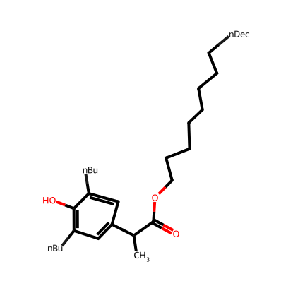 CCCCCCCCCCCCCCCCCCOC(=O)C(C)c1cc(CCCC)c(O)c(CCCC)c1